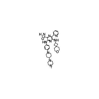 CN1CCN(C2CCN(c3ccc(Nc4nc(NC5CC6(CCOCC6)C5)c(-c5ccccn5)nc4C(N)=O)cc3)CC2)CC1